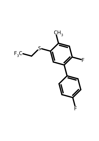 Cc1cc(F)c(-c2ccc(F)cc2)cc1SCC(F)(F)F